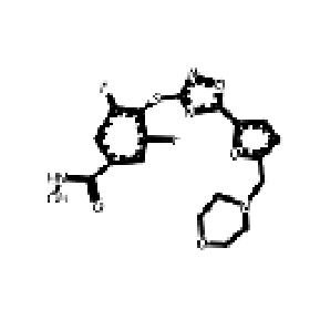 O=C(NO)c1cc(F)c(Sc2noc(-c3ccc(CN4CCOCC4)o3)n2)c(F)c1